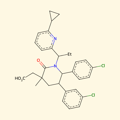 CCC(c1cccc(C2CC2)n1)N1C(=O)C(C)(CC(=O)O)CC(c2cccc(Cl)c2)C1c1ccc(Cl)cc1